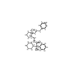 C[N+]1(CCCc2ccncc2)CCC[C@@H]1COC(=O)C(O)(c1ccccc1)C1CCCCC1